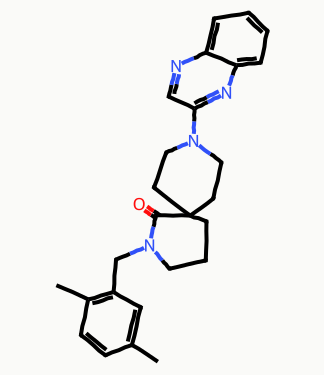 Cc1ccc(C)c(CN2CCCC3(CCN(c4cnc5ccccc5n4)CC3)C2=O)c1